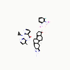 C[C@]12Cc3c[nH]nc3C[C@@H]1CC[C@@H]1[C@@H]2CC[C@@]2(C)[C@H]1CC[C@]2(C)O.Cc1ccnc2c1NC(=O)c1cccnc1N2C1CC1.O=[N+]([O-])c1cccc(F)c1[N+](=O)[O-]